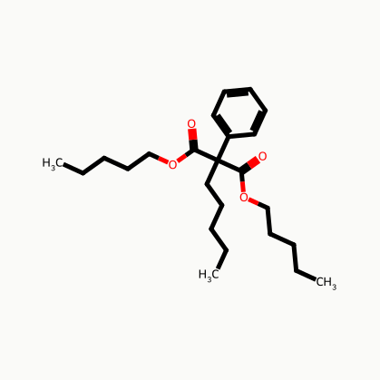 CCCCCOC(=O)C(CCCCC)(C(=O)OCCCCC)c1ccccc1